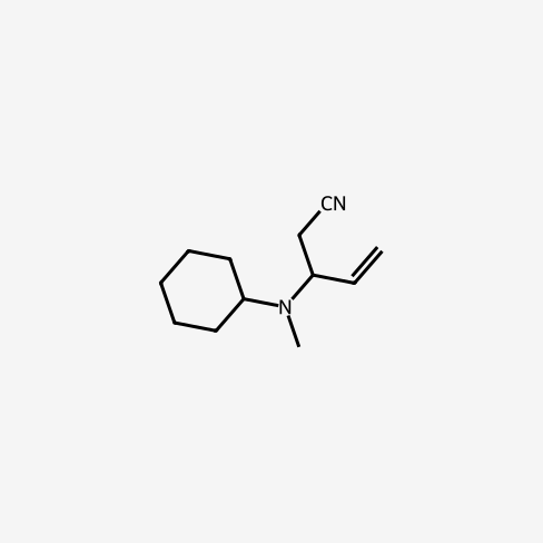 C=CC(CC#N)N(C)C1CCCCC1